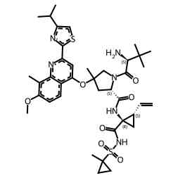 C=C[C@@H]1C[C@]1(NC(=O)[C@@H]1CC(C)(Oc2cc(-c3nc(C(C)C)cs3)nc3c(C)c(OC)ccc23)CN1C(=O)[C@@H](N)C(C)(C)C)C(=O)NS(=O)(=O)C1(C)CC1